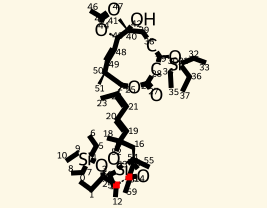 CCC(O[Si](CC)(CC)CC)C(C)[C@H]1O[C@@H]1CC(C)(/C=C/C=C(\C)[C@H]1OC(=O)C[C@H](O[Si](CC)(CC)CC)CC[C@@](C)(O)[C@@H](OC(C)=O)/C=C/[C@@H]1C)O[Si](CC)(CC)CC